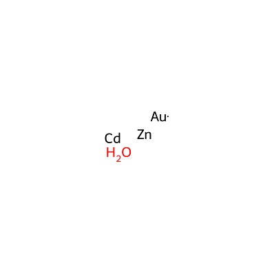 O.[Au].[Cd].[Zn]